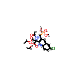 CCOC(=O)C(NC(C)=O)(C(=O)OCC)c1nc2ccc(Cl)cc2cc1CP(=O)(OC)OC